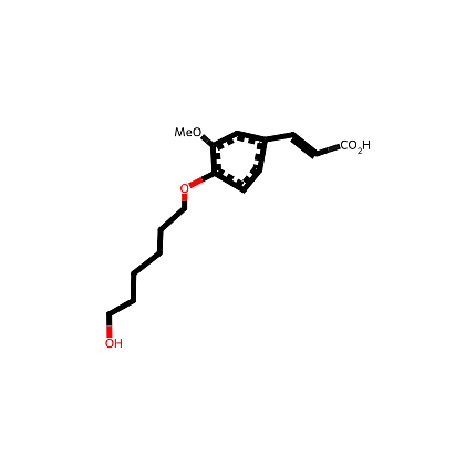 COc1cc(/C=C/C(=O)O)ccc1OCCCCCCO